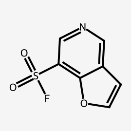 O=S(=O)(F)c1cncc2ccoc12